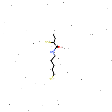 CCC(S)C(=O)NCCCCCS